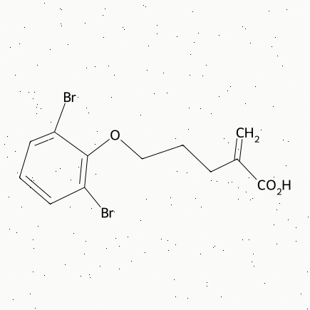 C=C(CCCOc1c(Br)cccc1Br)C(=O)O